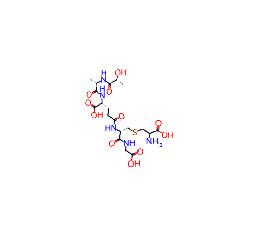 C[C@H](NC(=O)[C@@H](C)O)C(=O)N[C@H](CCC(=O)N[C@H](CSC[C@H](N)C(=O)O)C(=O)NCC(=O)O)C(=O)O